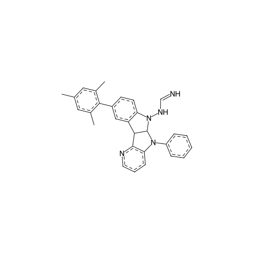 Cc1cc(C)c(-c2ccc3c(c2)C2c4ncccc4N(c4ccccc4)C2N3NC=N)c(C)c1